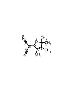 CC1=C(C)C(C)(C)OC1=C(C#N)C#N